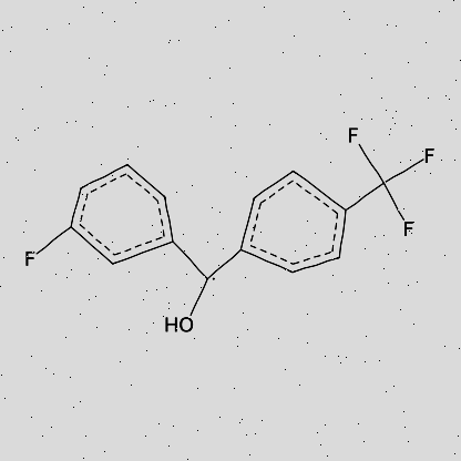 O[C](c1ccc(C(F)(F)F)cc1)c1cccc(F)c1